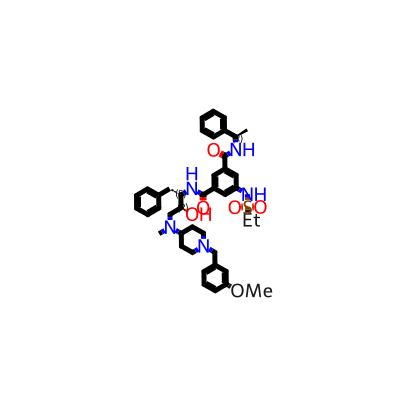 CCS(=O)(=O)Nc1cc(C(=O)N[C@@H](Cc2ccccc2)[C@H](O)CN(C)C2CCN(Cc3cccc(OC)c3)CC2)cc(C(=O)N[C@H](C)c2ccccc2)c1